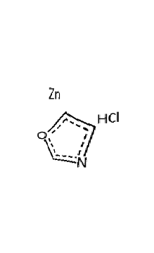 Cl.[Zn].c1cocn1